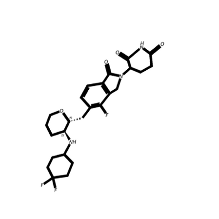 O=C1CCC(N2Cc3c(ccc(C[C@H]4OCCC[C@@H]4NC4CCC(F)(F)CC4)c3F)C2=O)C(=O)N1